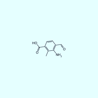 Cc1c(C(=O)O)ccc(C=O)c1N